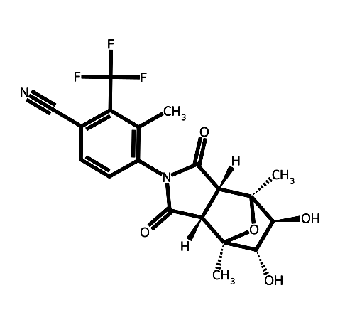 Cc1c(N2C(=O)[C@@H]3[C@H](C2=O)[C@]2(C)O[C@@]3(C)[C@@H](O)[C@@H]2O)ccc(C#N)c1C(F)(F)F